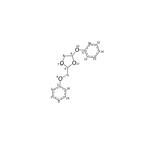 c1ccc(OCC2OCC(Oc3ccccc3)O2)cc1